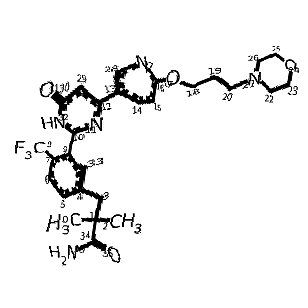 CC(C)(Cc1ccc(C(F)(F)F)c(-c2nc(-c3ccc(OCCCN4CCOCC4)nc3)cc(=O)[nH]2)c1)C(N)=O